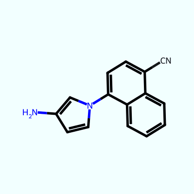 N#Cc1ccc(-n2ccc(N)c2)c2ccccc12